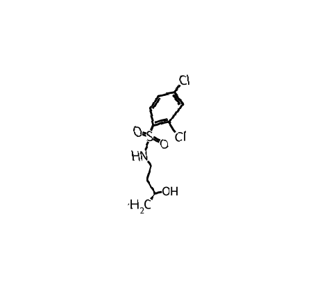 [CH2][C@H](O)CCNS(=O)(=O)c1ccc(Cl)cc1Cl